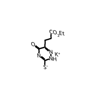 CCOC(=O)CCc1n[nH]c([S-])nc1=O.[K+]